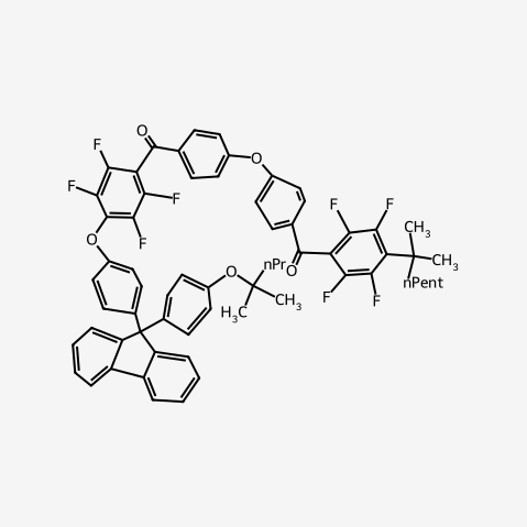 CCCCCC(C)(C)c1c(F)c(F)c(C(=O)c2ccc(Oc3ccc(C(=O)c4c(F)c(F)c(Oc5ccc(C6(c7ccc(OC(C)(C)CCC)cc7)c7ccccc7-c7ccccc76)cc5)c(F)c4F)cc3)cc2)c(F)c1F